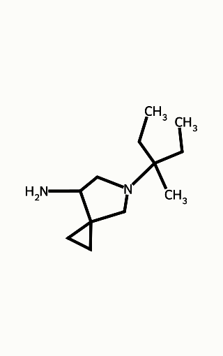 CCC(C)(CC)N1CC(N)C2(CC2)C1